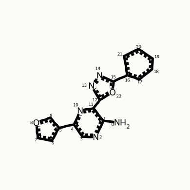 Nc1ncc(-c2ccoc2)nc1-c1nnc(-c2ccccc2)o1